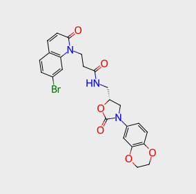 O=C(CCn1c(=O)ccc2ccc(Br)cc21)NC[C@@H]1CN(c2ccc3c(c2)OCCO3)C(=O)O1